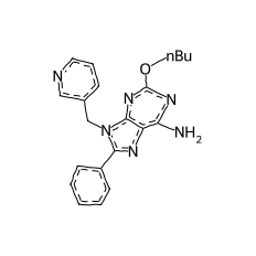 CCCCOc1nc(N)c2nc(-c3ccccc3)n(Cc3cccnc3)c2n1